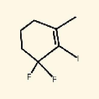 CC1=C(I)C(F)(F)CCC1